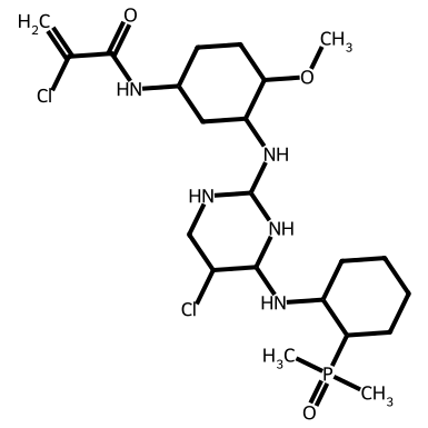 C=C(Cl)C(=O)NC1CCC(OC)C(NC2NCC(Cl)C(NC3CCCCC3P(C)(C)=O)N2)C1